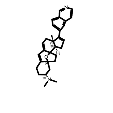 CN(C)[C@@H]1CCC2=CC3=CC[C@]4(C)C(c5ccc6cnccc6c5)=CC[C@H]4C34CC[C@]2(C1)O4